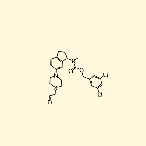 CN(C(=O)OCc1cc(Cl)cc(Cl)c1)C1CCc2ccc(N3CCN(CC=O)CC3)cc21